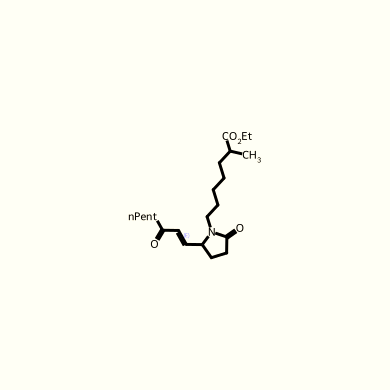 CCCCCC(=O)/C=C/C1CCC(=O)N1CCCCCC(C)C(=O)OCC